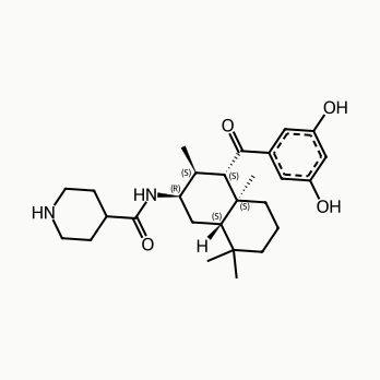 C[C@@H]1[C@H](NC(=O)C2CCNCC2)C[C@H]2C(C)(C)CCC[C@]2(C)[C@H]1C(=O)c1cc(O)cc(O)c1